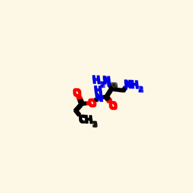 CCC(=O)ONC(=O)[C@@H](N)CN